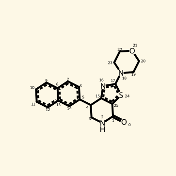 O=C1NCC(c2ccc3ccccc3c2)c2nc(N3CCOCC3)sc21